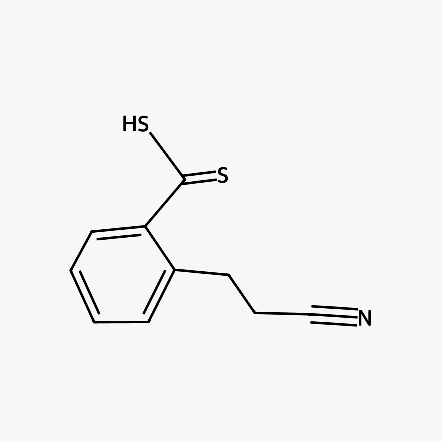 N#CCCc1ccccc1C(=S)S